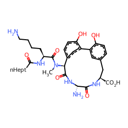 CCCCCCCC(=O)N[C@@H](CCCCN)C(=O)N(C)[C@@H]1C(=O)N[C@@H](N)C(=O)N[C@H](C(=O)O)Cc2ccc(O)c(c2)-c2cc1ccc2O